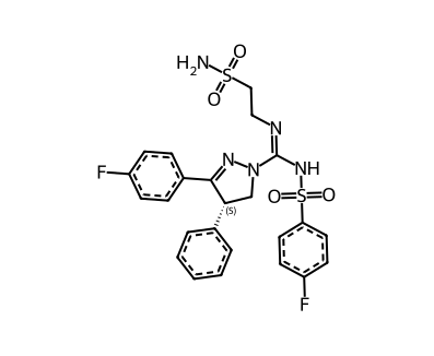 NS(=O)(=O)CCN=C(NS(=O)(=O)c1ccc(F)cc1)N1C[C@H](c2ccccc2)C(c2ccc(F)cc2)=N1